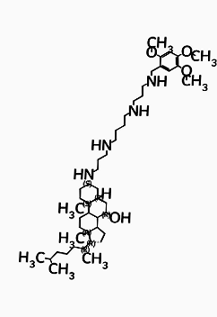 COc1cc(OC)c(OC)cc1CNCCCNCCCCNCCCN[C@H]1CC[C@]2(C)C3CC[C@@]4(C)C(CC[C@@H]4[C@H](C)CCCC(C)C)C3[C@H](O)C[C@H]2C1